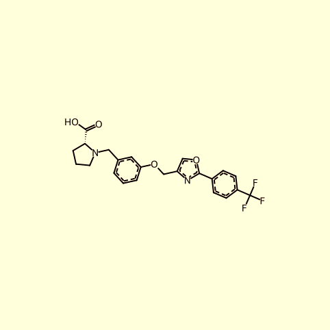 O=C(O)[C@H]1CCCN1Cc1cccc(OCc2coc(-c3ccc(C(F)(F)F)cc3)n2)c1